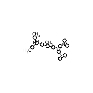 Cc1ccc(-c2cc(-c3ccc(-c4ccc(-c5ccc(-n6c7ccc(-n8c9ccccc9c9ccccc98)cc7c7cc(-n8c9ccccc9c9ccccc98)ccc76)cc5)cc4C)cc3)nc(-c3ccc(C)cc3)n2)cc1